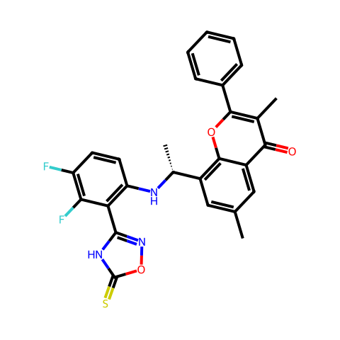 Cc1cc([C@@H](C)Nc2ccc(F)c(F)c2-c2noc(=S)[nH]2)c2oc(-c3ccccc3)c(C)c(=O)c2c1